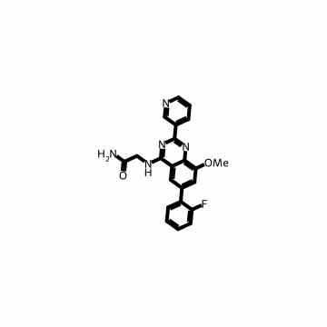 COc1cc(-c2ccccc2F)cc2c(NCC(N)=O)nc(-c3cccnc3)nc12